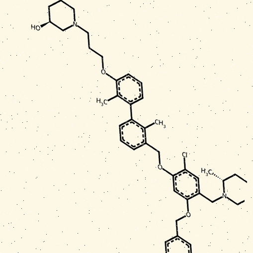 Cc1c(COc2cc(OCc3cncc(C#N)c3)c(CN3CCCC[C@H]3C)cc2Cl)cccc1-c1cccc(OCCCN2CCC[C@H](O)C2)c1C